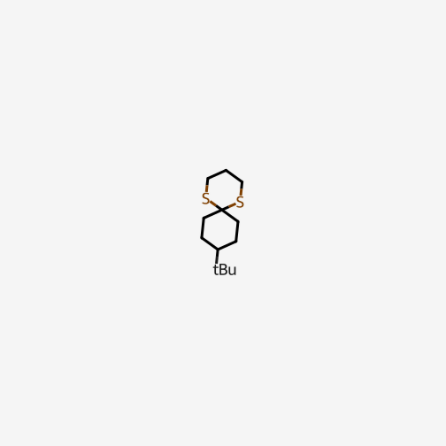 CC(C)(C)C1CCC2(CC1)SCCCS2